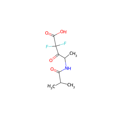 CC(C)C(=O)NC(C)C(=O)C(F)(F)C(=O)O